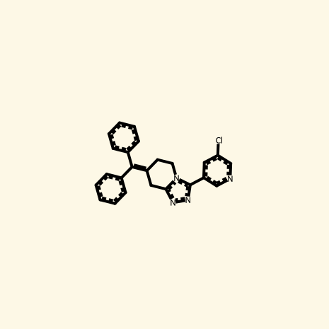 Clc1cncc(-c2nnc3n2CCC(=C(c2ccccc2)c2ccccc2)C3)c1